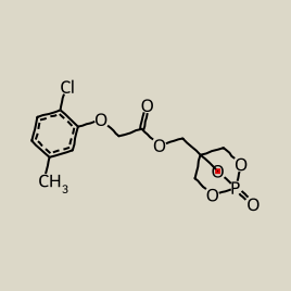 Cc1ccc(Cl)c(OCC(=O)OCC23COP(=O)(OC2)OC3)c1